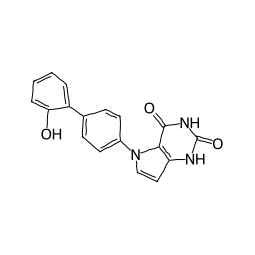 O=c1[nH]c(=O)c2c(ccn2-c2ccc(-c3ccccc3O)cc2)[nH]1